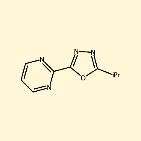 CC(C)c1nnc(-c2ncccn2)o1